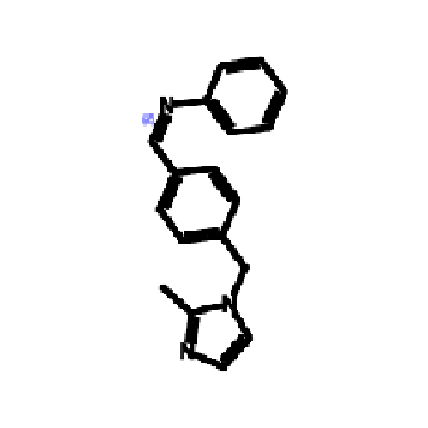 Cc1nccn1Cc1ccc(/C=N\c2ccccc2)cc1